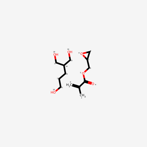 C=C(C)C(=O)OCC1CO1.OCCCC(CO)CO